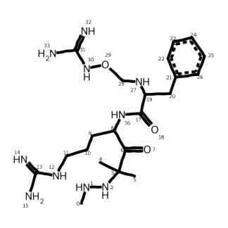 CNNC(C)(C)C(=O)C(CCCNC(=N)N)NC(=O)C(Cc1ccccc1)NCONC(=N)N